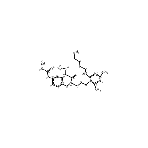 CCCCCNc1nc(N)nc(C)c1CCCN(Cc1ccc(CC(=O)OC)cc1)C(=O)CSC